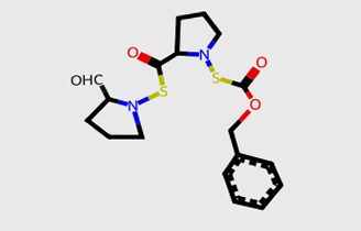 O=CC1CCCN1SC(=O)C1CCCN1SC(=O)OCc1ccccc1